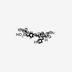 CC(C)(C)OC(=O)NC(=N)C(CC1CCNCC1)N1CC(COc2ccc(CC(NC(=O)OC(C)(C)C)C(=O)O)cc2)OC1=O